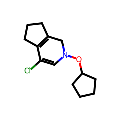 ClC1=CN(OC2CCCC2)CC2=C1CCC2